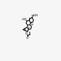 C[C@]12CCC3C(CC(O)C4=C/C(=N/O)CC[C@@H]43)C1C1CC1[C@@]21CCC(=O)O1